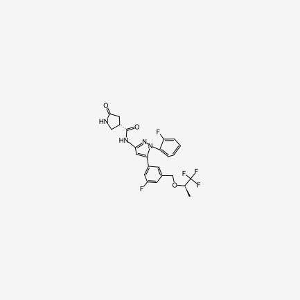 C[C@@H](OCc1cc(F)cc(-c2cc(NC(=O)[C@@H]3CNC(=O)C3)nn2-c2ccccc2F)c1)C(F)(F)F